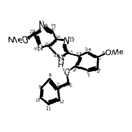 COc1ccc(OCc2ccccc2)c(-c2nc3cnc(OC)nc3[nH]2)c1